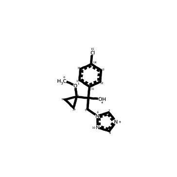 COC1(C(O)(Cn2cncn2)c2ccc(Cl)cc2)CC1